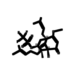 COC1=CC(=O)[C@H]2C(=O)[C@@]1(CC=C(C)C)C[C@H](OS(=O)(=O)C(F)(F)F)[C@]2(C)CCC=C(C)C